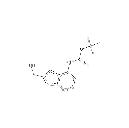 CC(C)(C)OC(=O)Nc1cccc2oc(CO)cc12